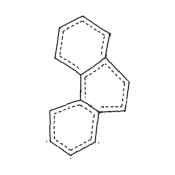 [c]1[c]cc2c([c]1)ccc1ccccc12